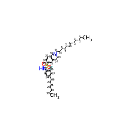 CCCCCCCCCCCCN1CCc2cc(S(=O)(=O)Nc3ccc(CCCCCCC)cc3F)ccc2C1